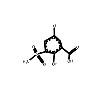 CS(=O)(=O)c1cc(Cl)cc(C(=O)O)c1O